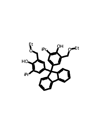 CCOCc1cc(C2(c3cc(COCC)c(O)c(C(C)C)c3)c3ccccc3-c3ccccc32)cc(C(C)C)c1O